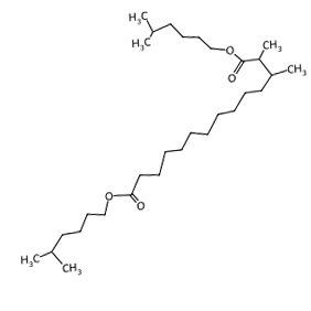 CC(C)CCCCOC(=O)CCCCCCCCCCC(C)C(C)C(=O)OCCCCC(C)C